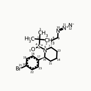 CC(C)(C)[S+]([O-])N1[C@H](CCN=[N+]=[N-])CCC[C@H]1c1ccc(Br)cc1